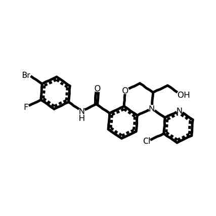 O=C(Nc1ccc(Br)c(F)c1)c1cccc2c1OCC(CO)N2c1ncccc1Cl